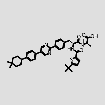 C[C@@H](NC(=O)[C@H](Cc1ccc(-c2ncc(-c3ccc(C4CCC(C)(C)CC4)cc3)cn2)cc1)NC(=O)c1ccc(C(C)(C)C)s1)C(=O)O